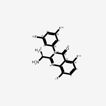 C[C@H](N)c1nc2c(F)ccc(F)c2c(=O)n1-c1cc(F)cc(F)c1